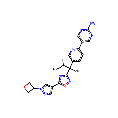 CC(C)C(C)(c1ccc(-c2cnc(N)nc2)nc1)c1noc(-c2cnn(C3COC3)c2)n1